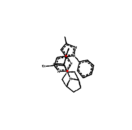 CCc1cc(C)nc(N2C3CCC2CN(C(=O)c2cc(C)nn2-c2ccccc2)C3)n1